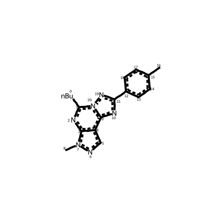 CCCCc1nc2c(cnn2C)c2nc(-c3ccc(C)cc3)nn12